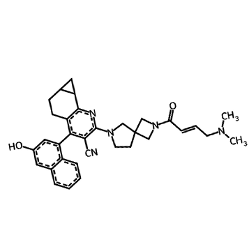 CN(C)C/C=C/C(=O)N1CC2(CCN(c3nc4c(c(-c5cc(O)cc6ccccc56)c3C#N)CCC3CC43)C2)C1